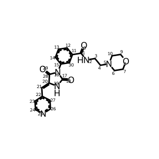 O=C(NCCN1CCOCC1)c1cccc(N2C(=O)N/C(=C\c3ccncc3)C2=O)c1